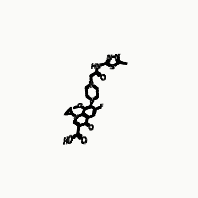 COc1c(N2CCN(CC(=O)Nc3nnc(C)s3)CC2)c(F)cc2c(=O)c(C(=O)O)cn(C3CC3)c12